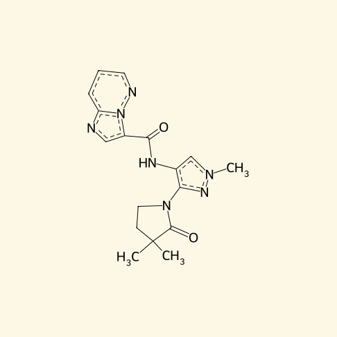 Cn1cc(NC(=O)c2cnc3cccnn23)c(N2CCC(C)(C)C2=O)n1